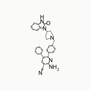 N#Cc1cc(-c2ccccc2)c(-c2ccc(CN3CCC(n4c(=O)[nH]c5ccccc54)CC3)cc2)nc1N